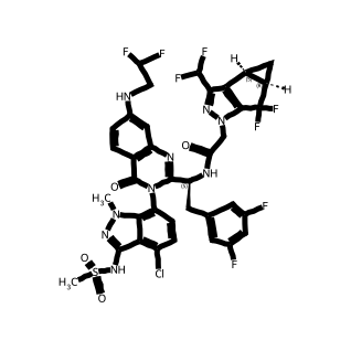 Cn1nc(NS(C)(=O)=O)c2c(Cl)ccc(-n3c([C@H](Cc4cc(F)cc(F)c4)NC(=O)Cn4nc(C(F)F)c5c4C(F)(F)[C@@H]4C[C@H]54)nc4cc(NCC(F)F)ccc4c3=O)c21